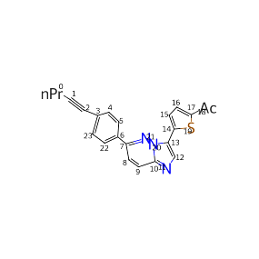 CCCC#Cc1ccc(-c2ccc3ncc(-c4ccc(C(C)=O)s4)n3n2)cc1